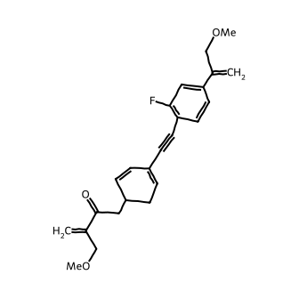 C=C(COC)C(=O)CC1C=CC(C#Cc2ccc(C(=C)COC)cc2F)=CC1